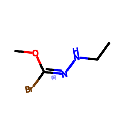 CCN/N=C(/Br)OC